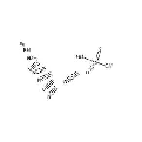 C#N.C#N.C#N.C#N.C#N.C#N.O=S(O)(O)=S.[Fe].[KH].[NaH]